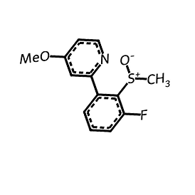 COc1ccnc(-c2cccc(F)c2[S+](C)[O-])c1